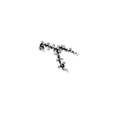 CCOC(=O)NCCCCC(C)C(=O)NC(CC(=O)NCCNC(=O)CCN1C(=O)CC(SC)C1=O)CC(=O)NCCNC(=O)CCN1C(=O)CC(SC)C1=O